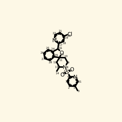 Cc1ccc(S(=O)(=O)N2CCC3(CC2C)OC(c2cc(Cl)ccn2)c2ccccc23)nc1